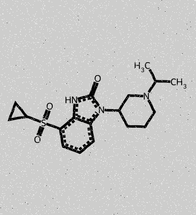 CC(C)N1CCCC(n2c(=O)[nH]c3c(S(=O)(=O)C4CC4)cccc32)C1